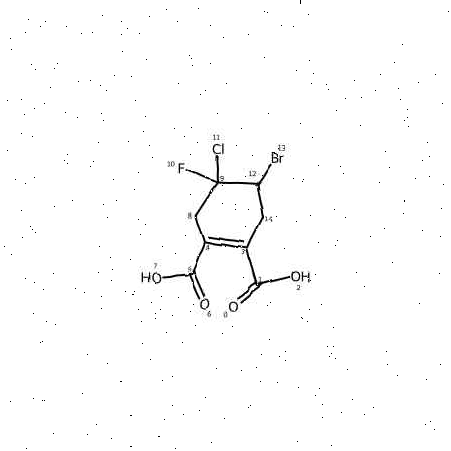 O=C(O)C1=C(C(=O)O)CC(F)(Cl)C(Br)C1